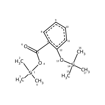 C[Si](C)(C)OC(=O)c1ccccc1O[Si](C)(C)C